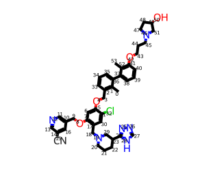 Cc1c(COc2cc(OCc3cncc(C#N)c3)c(CN3CCCC(c4nnc[nH]4)C3)cc2Cl)cccc1-c1cccc(OCCCN2CC[C@@H](O)C2)c1C